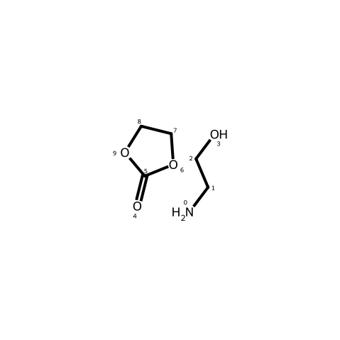 NCCO.O=C1OCCO1